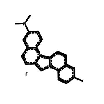 Cc1ccc2c(ccc3n4c(ccc5cc(N(C)C)ccc54)c[n+]23)c1.[I-]